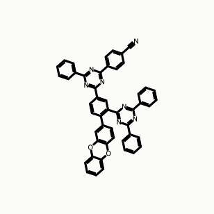 N#Cc1ccc(-c2nc(-c3ccccc3)nc(-c3ccc(-c4ccc5c(c4)Oc4ccccc4O5)c(-c4nc(-c5ccccc5)nc(-c5ccccc5)n4)c3)n2)cc1